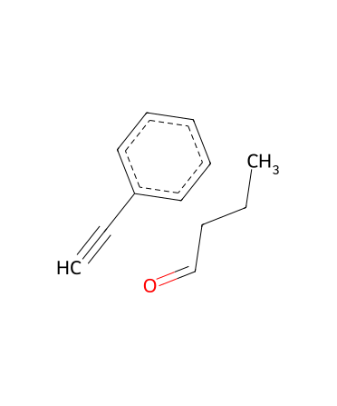 C#Cc1ccccc1.CCCC=O